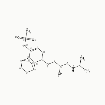 CC(C)NCC(O)COC1CC=C(NS(C)(=O)=O)C2C3CCC(CC3)C12